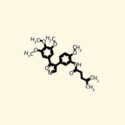 C=C(C)CCC(=O)Nc1cc(-c2cnoc2-c2cc(OC)c(OC)c(OC)c2)ccc1OC